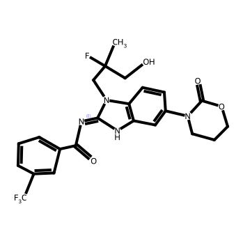 CC(F)(CO)Cn1/c(=N/C(=O)c2cccc(C(F)(F)F)c2)[nH]c2cc(N3CCCOC3=O)ccc21